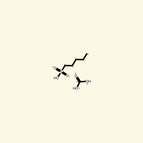 CCCCCS(=O)(=O)O.O=C(O)O